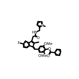 COc1cc(C=C2C(C)=C(CC(=O)NCc3cccn3C)c3cc(F)ccc32)cc(OC)c1OC(=O)c1ccccc1